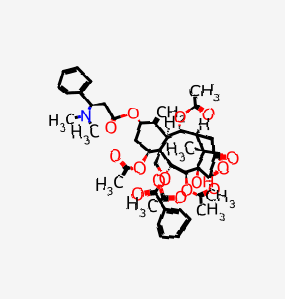 C=C1[C@@H](OC(=O)C[C@H](c2ccccc2)N(C)C)C[C@H](OC(C)=O)[C@@]2(COC(=O)c3ccccc3)[C@@H](OC(C)=O)[C@H](OC(C)=O)[C@]3(O)[C@@]4(C)CO[C@]3(C)C(=O)C[C@H]4[C@@H](OC(C)=O)[C@H]12